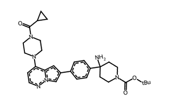 CC(C)(C)OC(=O)N1CCC(N)(c2ccc(-c3cc4c(N5CCN(C(=O)C6CC6)CC5)ccnn4c3)cc2)CC1